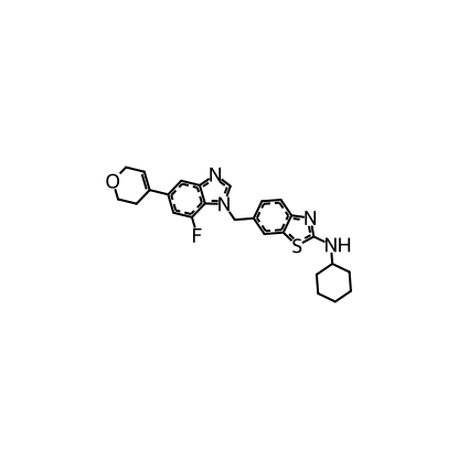 Fc1cc(C2=CCOCC2)cc2ncn(Cc3ccc4nc(NC5CCCCC5)sc4c3)c12